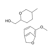 CC1CCC(CO)OC1.COc1ccc2cc1OC2